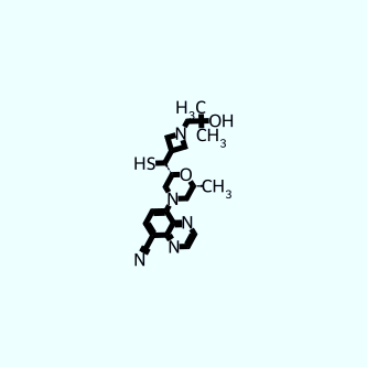 C[C@@H]1CN(c2ccc(C#N)c3nccnc23)C[C@H](C(S)C2CN(CC(C)(C)O)C2)O1